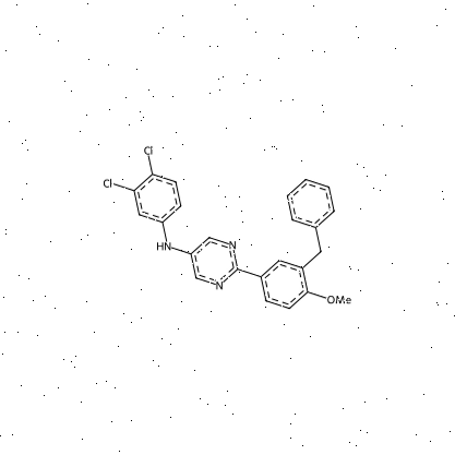 COc1ccc(-c2ncc(Nc3ccc(Cl)c(Cl)c3)cn2)cc1Cc1ccccc1